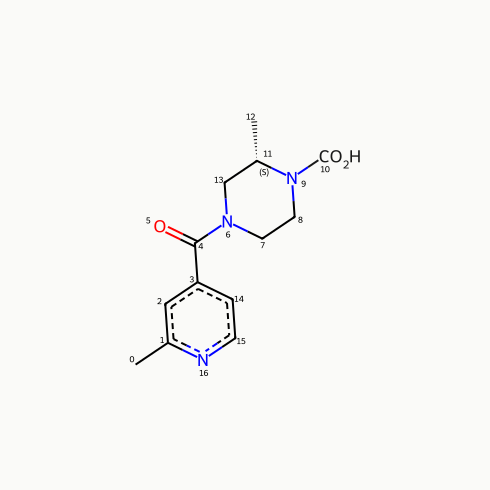 Cc1cc(C(=O)N2CCN(C(=O)O)[C@@H](C)C2)ccn1